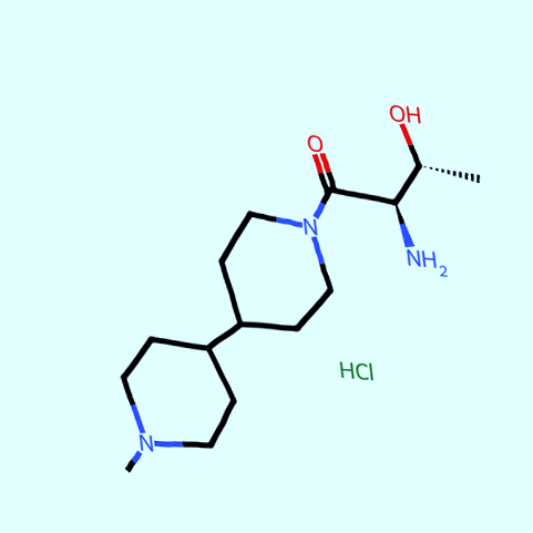 C[C@@H](O)[C@@H](N)C(=O)N1CCC(C2CCN(C)CC2)CC1.Cl